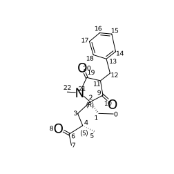 CC[C@@]1(C[C@H](C)C(C)=O)C(=O)C(Cc2ccccc2)C(=O)N1C